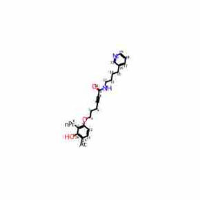 CCCc1c(OCCCC#CC(=O)NCCCCc2cccnc2)ccc(C(C)=O)c1O